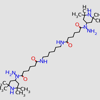 CC1(C)CC(N(N)C(=O)CCCCC(=O)NCCCCCCNC(=O)CCCCC(=O)N(N)C2CC(C)(C)NC(C)(C)C2)CC(C)(C)N1